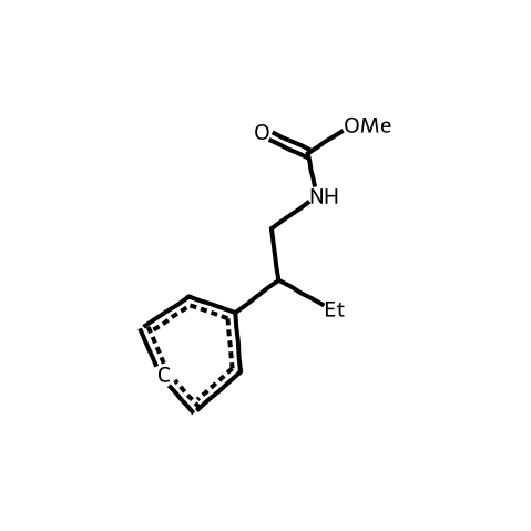 CCC(CNC(=O)OC)c1ccccc1